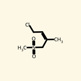 CC(=CCCl)CS(C)(=O)=O